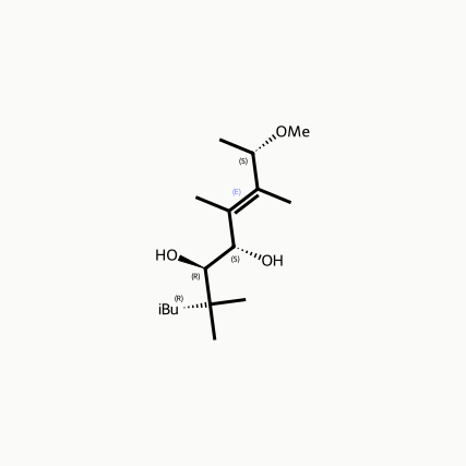 CC[C@@H](C)C(C)(C)[C@@H](O)[C@@H](O)/C(C)=C(\C)[C@H](C)OC